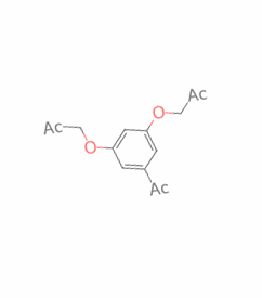 CC(=O)COc1cc(OCC(C)=O)cc(C(C)=O)c1